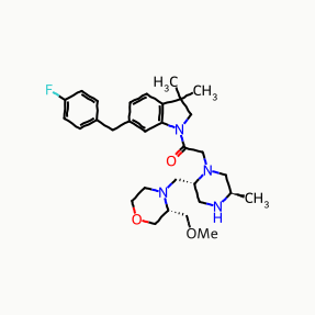 COC[C@@H]1COCCN1C[C@H]1CN[C@H](C)CN1CC(=O)N1CC(C)(C)c2ccc(Cc3ccc(F)cc3)cc21